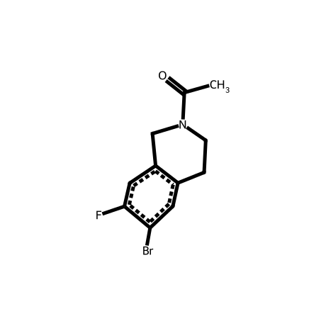 CC(=O)N1CCc2cc(Br)c(F)cc2C1